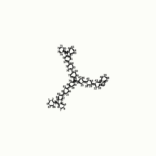 c1ccc(-n2c3ccccc3c3cc(-c4ccc(-c5ccc(N(c6ccc(-c7ccc(-c8ccc9oc%10ccccc%10c9c8)cc7)cc6)c6ccc(-c7ccc(-c8ccc9c(c8)c8ccccc8n9-c8ccccc8)cc7)cc6)cc5)cc4)ccc32)cc1